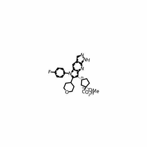 CO[C@@]1(C(=O)O)CC[C@@H](c2c(C3CCOCC3)n(-c3ccc(F)cc3)c3cc4cn[nH]c4nc23)C1